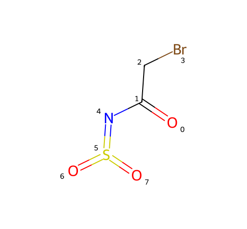 O=C(CBr)N=S(=O)=O